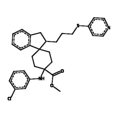 COC(=O)C1(Nc2cccc(Cl)c2)CCC2(CC1)c1ccccc1CC2CCCSc1ccncc1